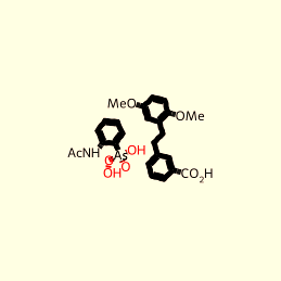 CC(=O)Nc1ccccc1[As](=O)(O)OO.COc1ccc(OC)c(CCc2cccc(C(=O)O)c2)c1